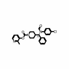 Cc1ncccc1OC(=O)N1CCC([C@@H](c2ccccc2)N(C=O)c2ccc(Cl)cc2)CC1